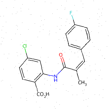 CC(=Cc1ccc(F)cc1)C(=O)Nc1cc(Cl)ccc1C(=O)O